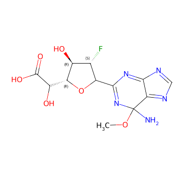 COC1(N)N=C(C2O[C@H](C(O)C(=O)O)[C@@H](O)[C@@H]2F)N=C2N=CN=C21